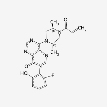 C=CC(=O)N1C[C@H](C)N(c2ncnc3c(=O)n(-c4c(O)cccc4F)cnc23)C[C@H]1C